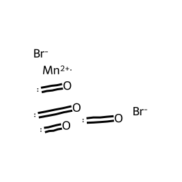 [Br-].[Br-].[C]=O.[C]=O.[C]=O.[C]=O.[Mn+2]